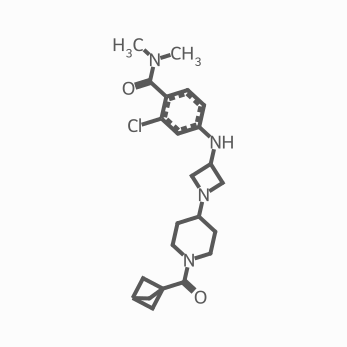 CN(C)C(=O)c1ccc(NC2CN(C3CCN(C(=O)C45CC(C4)C5)CC3)C2)cc1Cl